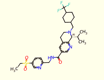 CCS(=O)(=O)c1ccc(CNC(=O)c2cnc3c(c2)CCN(CC2CCC(C(F)(F)F)CC2)[C@@H]3C(C)C)nc1